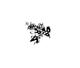 Cn1nc(NS(C)(=O)=O)c2c(Cl)ccc(-n3c([C@H](Cc4cc(F)cc(F)c4)NC(=O)Cn4nc(C(F)F)c5c4C(F)(F)C4CC54)nc(-c4ccccc4)cc3=O)c21